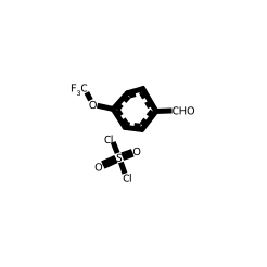 O=Cc1ccc(OC(F)(F)F)cc1.O=S(=O)(Cl)Cl